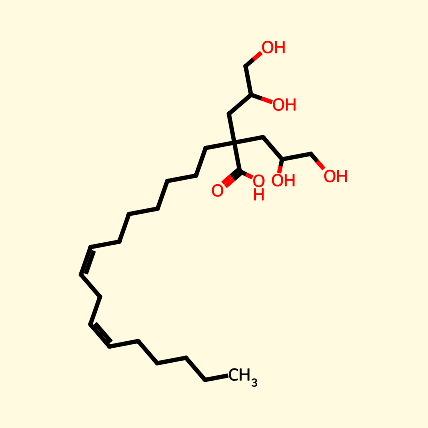 CCCCC/C=C\C/C=C\CCCCCCC(CC(O)CO)(CC(O)CO)C(=O)O